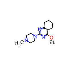 CCOc1nc(N2CCN(C)CC2)nc2c1CCCC2